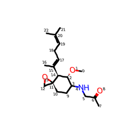 CO[C@@H]1C(NCC(C)=O)CC[C@]2(CO2)[C@H]1/C(C)=C/CC=C(C)C